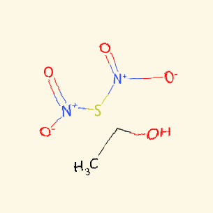 CCO.O=[N+]([O-])S[N+](=O)[O-]